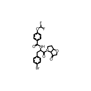 O=C(NC(Cc1ccc(Br)cc1)C(=O)N1CCC2OCC(=O)C21)c1ccc(OC(F)F)cc1